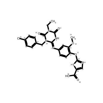 CCn1c(=O)[nH]/c(=N\c2ccc(Oc3ncc(C(=O)O)s3)c(OC)c2)n(Cc2ccc(Cl)cc2)c1=O